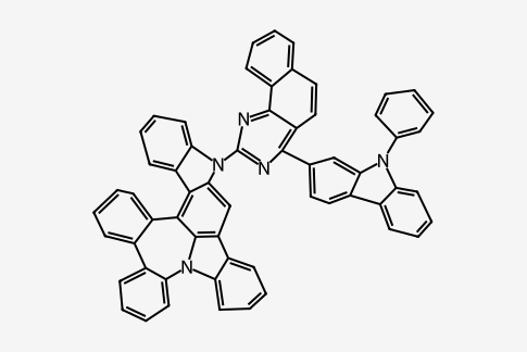 c1ccc(-n2c3ccccc3c3ccc(-c4nc(-n5c6ccccc6c6c7c8c(cc65)c5ccccc5n8-c5ccccc5-c5ccccc5-7)nc5c4ccc4ccccc45)cc32)cc1